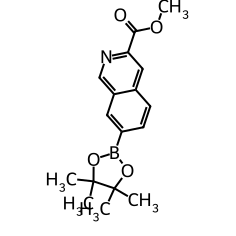 COC(=O)c1cc2ccc(B3OC(C)(C)C(C)(C)O3)cc2cn1